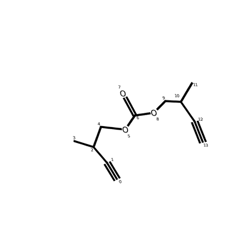 C#CC(C)COC(=O)OCC(C)C#C